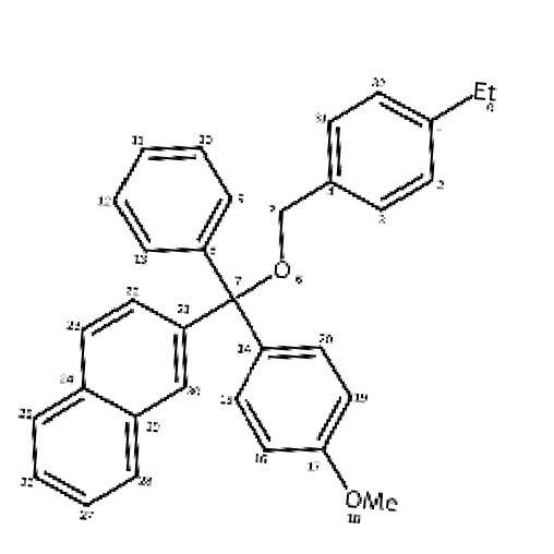 CCc1ccc(COC(c2ccccc2)(c2ccc(OC)cc2)c2ccc3ccccc3c2)cc1